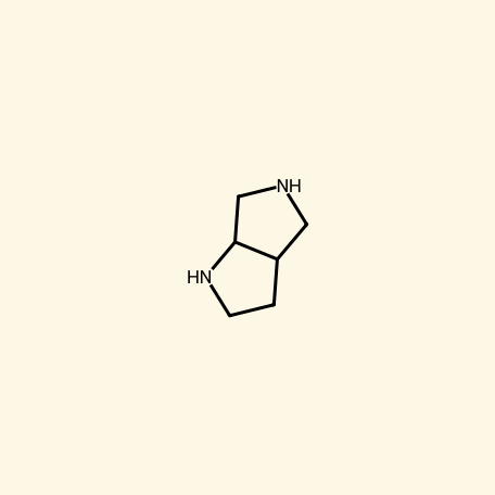 C1CC2CNCC2N1